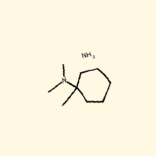 CN(C)C1(C)CCCCC1.N